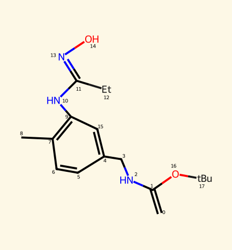 C=C(NCc1ccc(C)c(N/C(CC)=N/O)c1)OC(C)(C)C